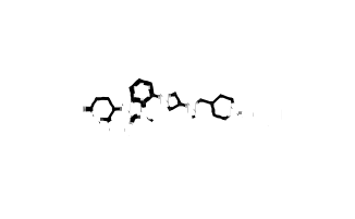 CN(CC1CCN(C(=O)O)CC1)C1CN(c2cccc3c2n(C)c(=O)n3C2CCC(=O)NC2=O)C1